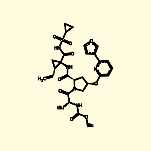 C=C[C@@H]1C[C@]1(NC(=O)[C@@H]1C[C@@H](Oc2cccc(-c3ccoc3)n2)CN1C(=O)[C@@H](NC(=O)OC(C)(C)C)C(C)(C)C)C(=O)NS(=O)(=O)C1CC1